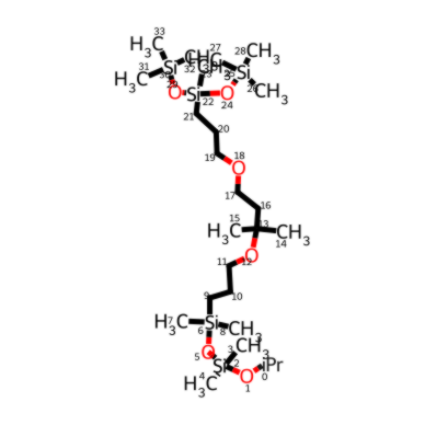 CC(C)O[Si](C)(C)O[Si](C)(C)CCCOC(C)(C)CCOCCC[Si](C)(O[Si](C)(C)C)O[Si](C)(C)C